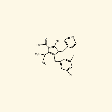 Cc1c(C(=O)O)c(C(C)C)c(Sc2cc(Cl)cc(Cl)c2)n1Cc1ccncc1